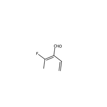 C=C/C(C=O)=C(\C)F